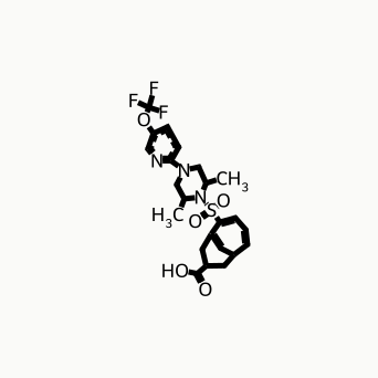 CC1CN(c2ccc(OC(F)(F)F)cn2)CC(C)N1S(=O)(=O)C1=CC=CC2C=C1CC(C(=O)O)C2